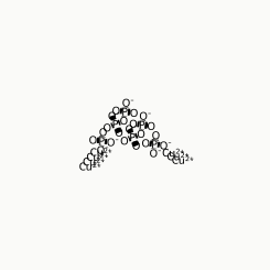 O=P([O-])([O-])OP(=O)([O-])[O-].O=P([O-])([O-])OP(=O)([O-])[O-].O=P([O-])([O-])[O-].O=P([O-])([O-])[O-].[Cu+2].[Cu+2].[Cu+2].[Cu+2].[Cu+2].[Cu+2].[Cu+2]